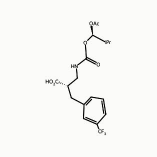 CC(=O)O[C@H](OC(=O)NC[C@H](Cc1cccc(C(F)(F)F)c1)C(=O)O)C(C)C